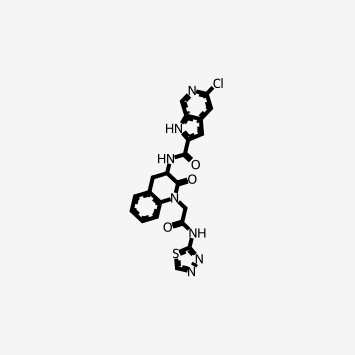 O=C(CN1C(=O)C(NC(=O)c2cc3cc(Cl)ncc3[nH]2)Cc2ccccc21)Nc1nncs1